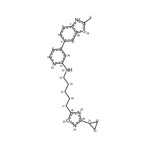 Cc1nc2ccc(-c3ccnc(NCCCCCc4nc(C5CC5)no4)c3)cc2s1